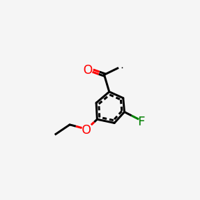 [CH2]C(=O)c1cc(F)cc(OCC)c1